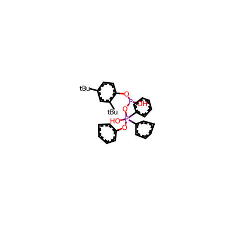 CC(C)(C)c1ccc(OP(O)OP(O)(Oc2ccccc2)(c2ccccc2)c2ccccc2)c(C(C)(C)C)c1